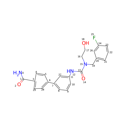 NC(=O)c1ccc(-c2cccc(NC(=O)N(CCO)Cc3cccc(F)c3)c2)cc1